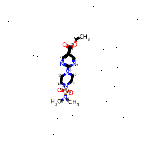 CCOC(=O)c1cnc(N2CCN(S(=O)(=O)N(C)C)CC2)nc1